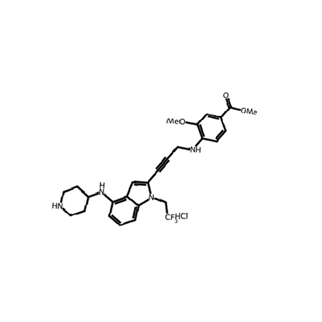 COC(=O)c1ccc(NCC#Cc2cc3c(NC4CCNCC4)cccc3n2CC(F)(F)F)c(OC)c1.Cl